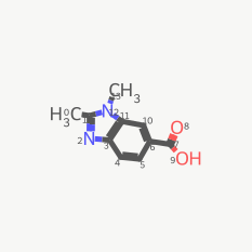 Cc1nc2ccc(C(=O)O)cc2n1C